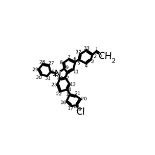 C=Cc1ccc(-c2ccc3c(c2)c2cc(-c4ccc(Cl)cc4)ccc2n3C2C=CC=CC2)cc1